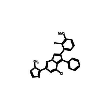 COc1cccc(-c2cn3nc(-c4nccn4C)nc(Cl)c3c2-c2ccccc2)c1Cl